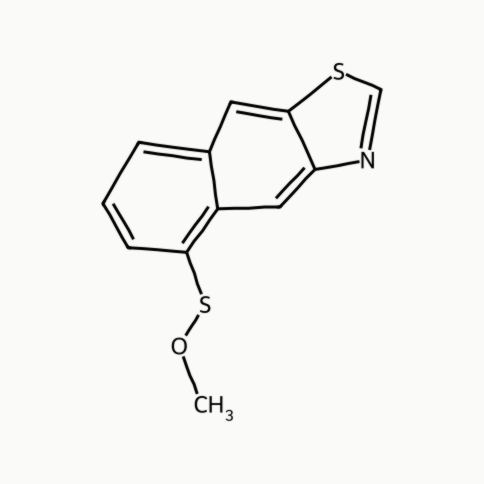 COSc1cccc2cc3scnc3cc12